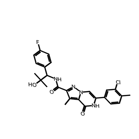 Cc1ccc(-c2cn3nc(C(=O)NC(c4ccc(F)cc4)C(C)(C)O)c(C)c3c(=O)[nH]2)cc1Cl